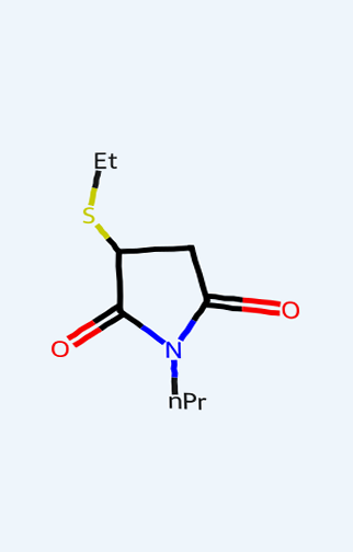 CCCN1C(=O)CC(SCC)C1=O